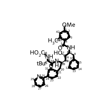 COc1ccc(C(=O)N[C@@H](Cc2ccccc2)[C@@H](O)C[C@@H](Cc2ccc(-c3ccccn3)cc2)NC(=O)[C@@H](NC(=O)O)C(C)(C)C)c(C)c1